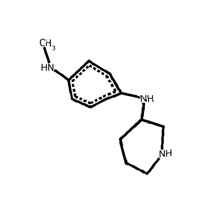 CNc1ccc(NC2CCCNC2)cc1